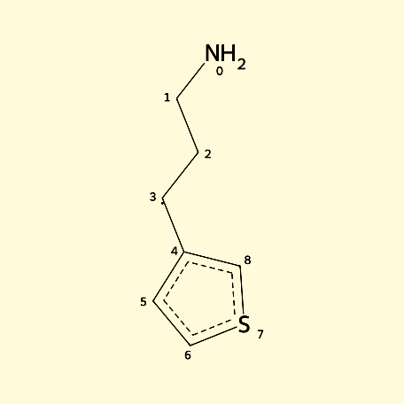 NCC[CH]c1ccsc1